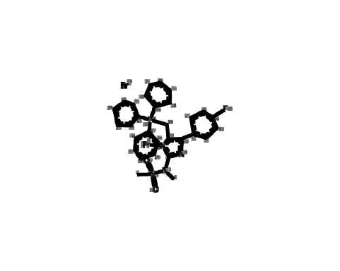 CC(C)n1c(N(C)S(C)(=O)=O)nc(-c2ccc(F)cc2)c1C[P+](c1ccccc1)(c1ccccc1)c1ccccc1.[Br-]